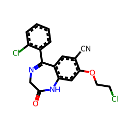 N#Cc1cc2c(cc1OCCCl)NC(=O)CN=C2c1ccccc1Cl